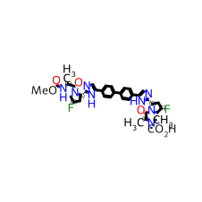 COC(=O)N[C@@H](C)C(=O)N1C[C@@H](F)C[C@H]1c1ncc(-c2ccc(-c3ccc(-c4cnc([C@@H]5C[C@H](F)CN5C(=O)[C@H](C)N(C)C(=O)O)[nH]4)cc3)cc2)[nH]1